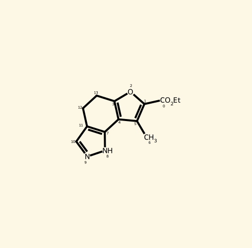 CCOC(=O)c1oc2c(c1C)-c1[nH]ncc1CC2